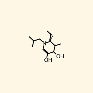 C/N=C1/C(C)C(O)C(O)=CN1CC(C)C